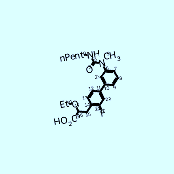 CCCCCNC(=O)N(C)c1cccc(-c2ccc(CC(OCC)C(=O)O)c(F)c2)c1